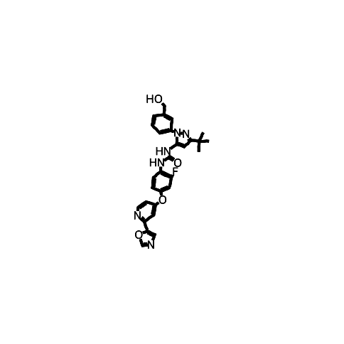 CC(C)(C)c1cc(NC(=O)Nc2ccc(Oc3ccnc(-c4cnco4)c3)cc2F)n(-c2cccc(CO)c2)n1